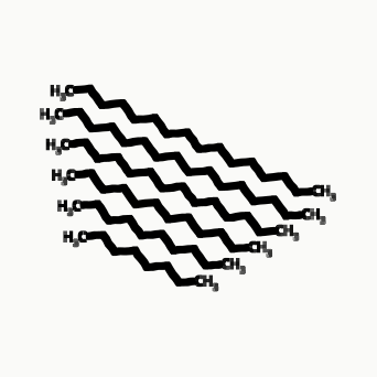 CCCCCCCC.CCCCCCCCCC.CCCCCCCCCCCC.CCCCCCCCCCCCCC.CCCCCCCCCCCCCCCC.CCCCCCCCCCCCCCCC